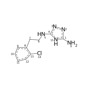 Nc1nnc(NCCc2ccccc2Cl)[nH]1